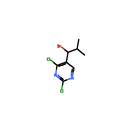 CC(C)C(Br)c1cnc(Cl)nc1Cl